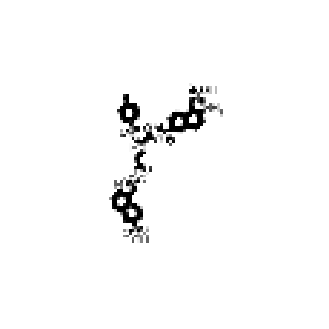 Cc1ccc(S(=O)(=O)N[C@@H](CCC(=O)OS(=O)(=O)Cc2c(N)ccc3cc(S(=O)(=O)O)ccc23)C(=O)OS(=O)(=O)c2ccc3c(CS(=O)(=O)O)c(N)ccc3c2)cc1